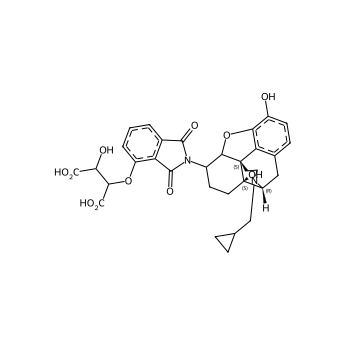 O=C(O)C(O)C(Oc1cccc2c1C(=O)N(C1CC[C@@]3(O)[C@H]4Cc5ccc(O)c6c5[C@@]3(CCN4CC3CC3)C1O6)C2=O)C(=O)O